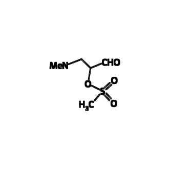 CNCC(C=O)OS(C)(=O)=O